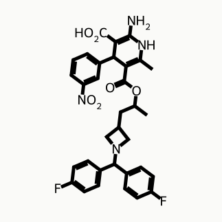 CC1=C(C(=O)OC(C)CC2CN(C(c3ccc(F)cc3)c3ccc(F)cc3)C2)C(c2cccc([N+](=O)[O-])c2)C(C(=O)O)=C(N)N1